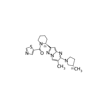 Cc1cn2nc([C@@H]3CCCCN3C(=O)c3cncs3)cc2nc1N1CC[C@H](C)C1